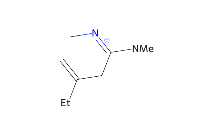 C=C(CC)C/C(=N\C)NC